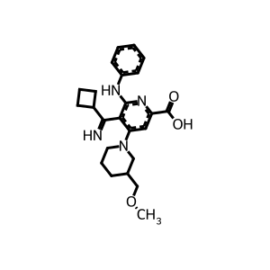 COCC1CCCN(c2cc(C(=O)O)nc(Nc3ccccc3)c2C(=N)C2CCC2)C1